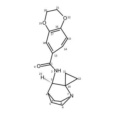 O=C(N[C@@H]1C2CCN(CC2)C12CC2)c1ccc2c(c1)OCCO2